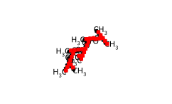 CCCCCC(CCCCC)COC(=O)CCCC(CCC)OC(=O)OCCN(CCCN(CC)CC)CCOC(=O)OC(CCC)CCCC(=O)OCC(CCCCC)CCCCC